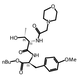 CCCCOC(=O)[C@H](Cc1ccc(OC)cc1)NC(=O)[C@@H](NC(=O)CN1CCOCC1)[C@@H](C)O